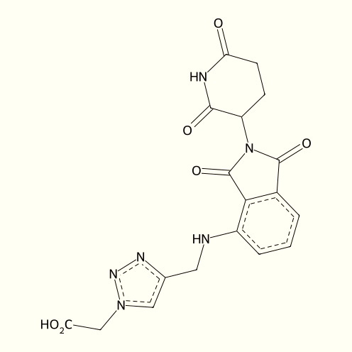 O=C(O)Cn1cc(CNc2cccc3c2C(=O)N(C2CCC(=O)NC2=O)C3=O)nn1